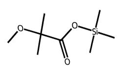 COC(C)(C)C(=O)O[Si](C)(C)C